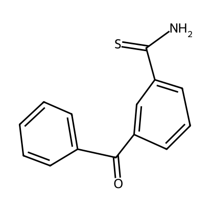 NC(=S)c1cccc(C(=O)c2ccccc2)c1